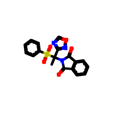 CC(c1ncon1)(N1C(=O)c2ccccc2C1=O)S(=O)(=O)c1ccccc1